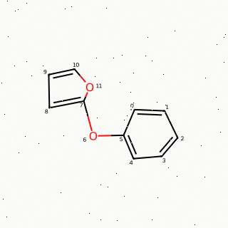 [c]1ccccc1Oc1ccco1